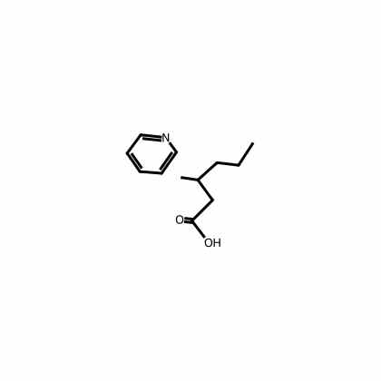 CCCC(C)CC(=O)O.c1ccncc1